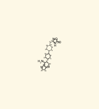 Nc1c(-c2ccc(C3CCC(Cc4noc(=O)[nH]4)CC3)cc2)cnc2ccnn12